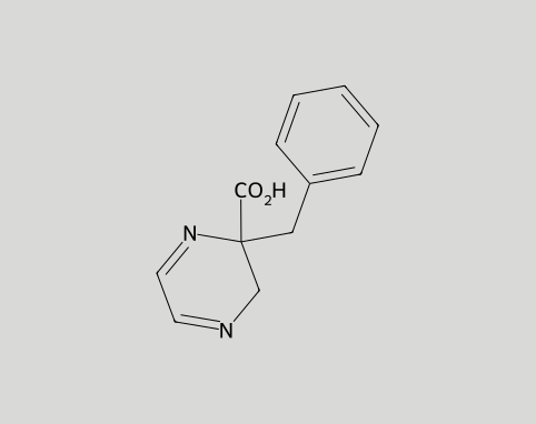 O=C(O)C1(Cc2ccccc2)CN=CC=N1